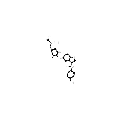 Cc1ccc(S(=O)(=O)c2c[nH]c3ccc(Oc4c(Cl)cc(C[C@H](N)C(=O)O)cc4Cl)cc23)cc1